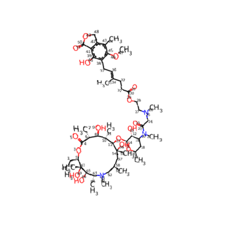 CC[C@H]1OC(=O)[C@H](C)[C@@H](O)[C@H](C)[C@@H](O[C@@H]2O[C@H](C)CC(N(C)C(=O)CN(C)CCOC(=O)CC/C(C)=C/Cc3c(O)c4c(c(C)c3OC)COC4=O)[C@H]2O)[C@](C)(O)C[C@@H](C)CN(C)[C@H](C)[C@@H](O)[C@]1(C)O